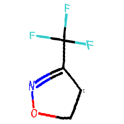 FC(F)(F)C1=NOC[C]1